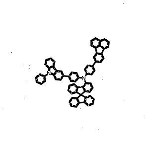 c1ccc(-n2c3ccccc3c3cc(-c4ccc(N(c5ccc(-c6ccc7c(c6)-c6cccc8cccc-7c68)cc5)c5cccc6c5-c5ccccc5C65c6ccccc6-c6ccccc65)cc4)ccc32)cc1